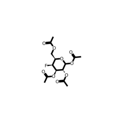 CC(=O)OC[C@H]1OC(OC(C)=O)[C@H](OC(C)=O)[C@@H](OC(C)=O)[C@H]1F